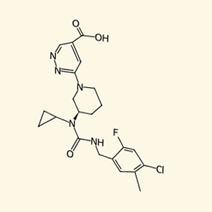 Cc1cc(CNC(=O)N(C2CC2)[C@@H]2CCCN(c3cc(C(=O)O)cnn3)C2)c(F)cc1Cl